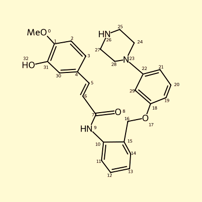 COc1ccc(/C=C/C(=O)Nc2ccccc2COc2cccc(N3CCNCC3)c2)cc1O